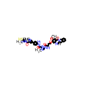 COc1cc2c(cc1OCCCC(=O)Nc1cn(C)c(C(=O)Nc3ccc(-c4cc(C(=O)NCC(C)(C)S)n(C)c4)cc3)n1)N=C[C@@H]1Cc3ccccc3CN1C2=O